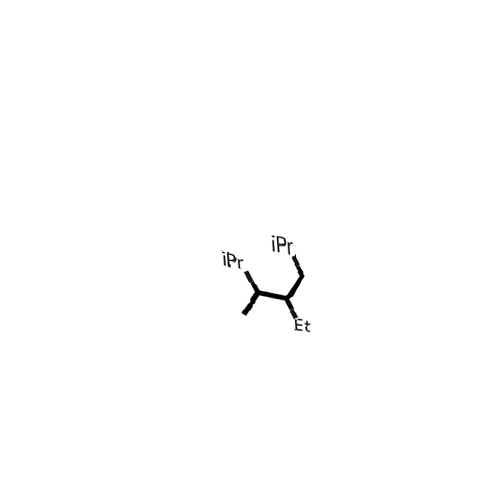 CCC(CC(C)C)C(C)C(C)C